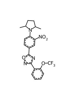 CC1CCC(C)N1c1ccc(-c2nc(-c3ccccc3OC(F)(F)F)no2)cc1[N+](=O)[O-]